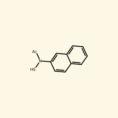 CC(=O)N(S)c1ccc2ccccc2c1